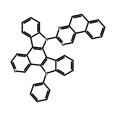 c1ccc(-n2c3ccccc3c3c2c2cnccc2c2c4ccccc4n(-c4ncc5c(ccc6ccccc65)n4)c23)cc1